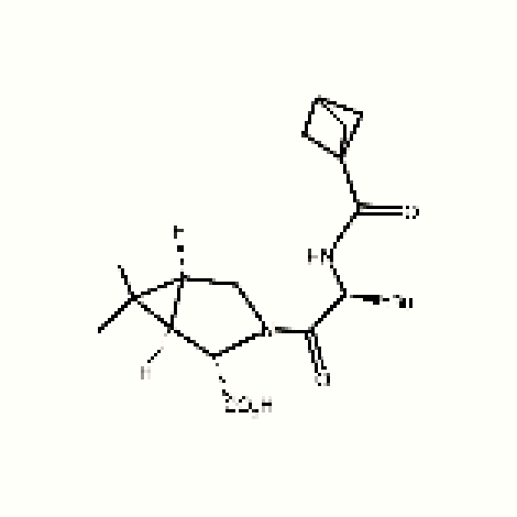 CC(C)(C)[C@H](NC(=O)C12CC(C1)C2)C(=O)N1C[C@H]2[C@@H]([C@H]1C(=O)O)C2(C)C